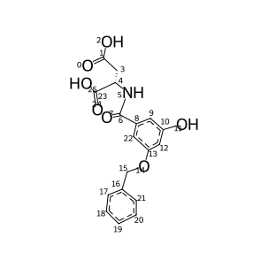 O=C(O)C[C@H](NC(=O)c1cc(O)cc(OCc2ccccc2)c1)C(=O)O